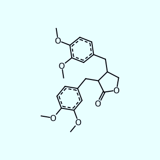 COc1ccc(CC2COC(=O)C2Cc2ccc(OC)c(OC)c2)cc1OC